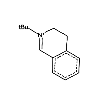 CC(C)(C)[N+]1=Cc2ccccc2CC1